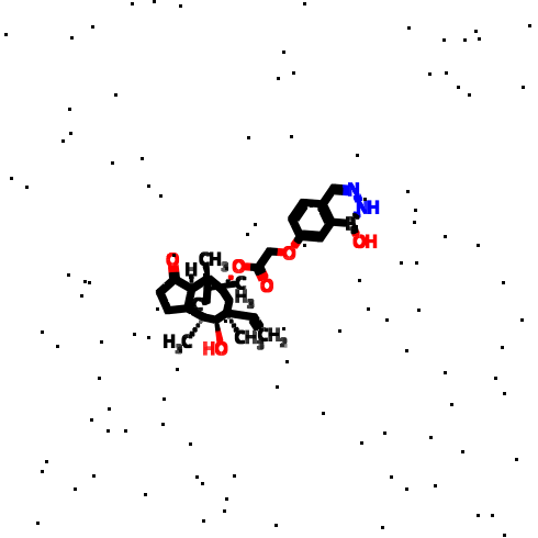 C=C[C@]1(C)C[C@@H](OC(=O)COc2ccc3c(c2)B(O)NN=C3)[C@]2(C)[C@H](C)CC[C@]3(CCC(=O)[C@H]32)[C@@H](C)[C@@H]1O